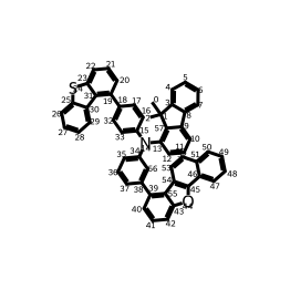 CC1(C)c2ccccc2-c2cccc(N(c3ccc(-c4cccc5sc6ccccc6c45)cc3)c3cccc(-c4cccc5oc6c7ccccc7ccc6c45)c3)c21